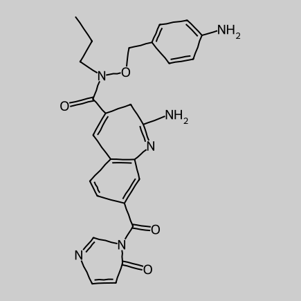 CCCN(OCc1ccc(N)cc1)C(=O)C1=Cc2ccc(C(=O)n3cnccc3=O)cc2N=C(N)C1